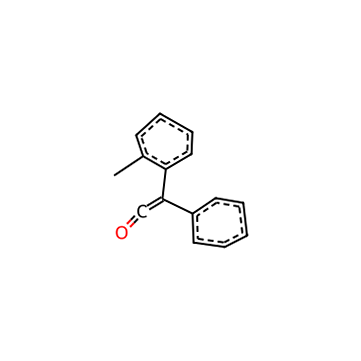 Cc1ccccc1C(=C=O)c1ccccc1